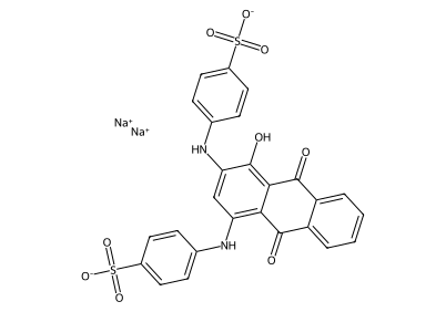 O=C1c2ccccc2C(=O)c2c(O)c(Nc3ccc(S(=O)(=O)[O-])cc3)cc(Nc3ccc(S(=O)(=O)[O-])cc3)c21.[Na+].[Na+]